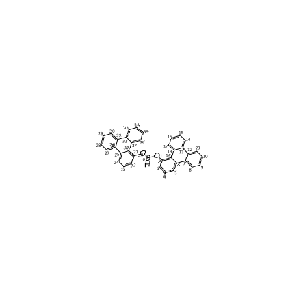 B(Oc1cccc2c3ccccc3c3ccccc3c12)Oc1cccc2c3ccccc3c3ccccc3c12